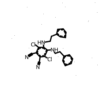 N#Cc1c(Cl)c(NCCc2ccccc2)c(NCCc2ccccc2)c(Cl)c1C#N